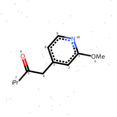 COc1cc(CC(=O)C(C)C)ccn1